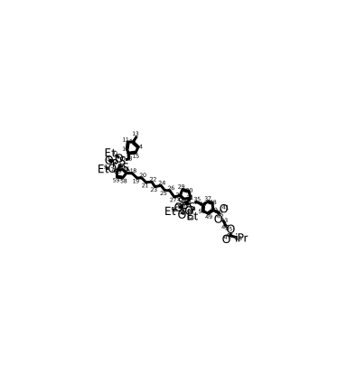 CCOP(=O)(OCC)C1(SCc2ccc(C)cc2)SC2(CCCCCCCCCCC34C=CC(C3)C(SCc3ccc(C(=O)OCCOC(=O)C(C)C)cc3)(P(=O)(OCC)OCC)S4)C=CC1C2